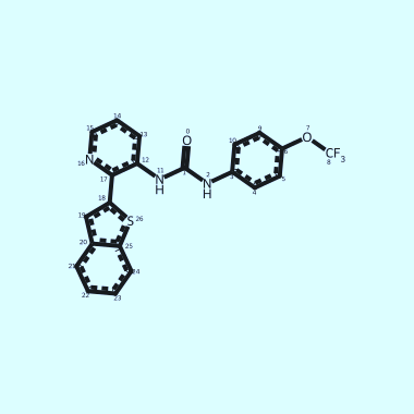 O=C(Nc1ccc(OC(F)(F)F)cc1)Nc1cccnc1-c1cc2ccccc2s1